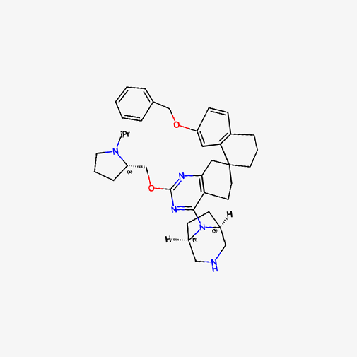 CC(C)N1CCC[C@H]1COc1nc2c(c(N3[C@@H]4CC[C@H]3CNC4)n1)CCC1(CCCc3ccc(OCc4ccccc4)cc31)C2